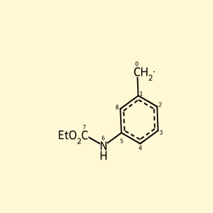 [CH2]c1cccc(NC(=O)OCC)c1